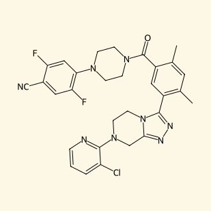 Cc1cc(C)c(-c2nnc3n2CCN(c2ncccc2Cl)C3)cc1C(=O)N1CCN(c2cc(F)c(C#N)cc2F)CC1